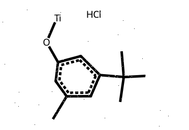 Cc1cc([O][Ti])cc(C(C)(C)C)c1.Cl